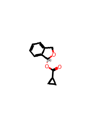 O=C(O[C@H]1OCc2ccccc21)C1CC1